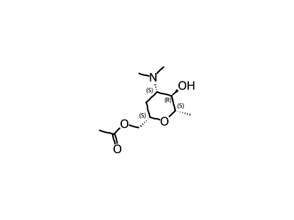 CC(=O)OC[C@@H]1C[C@H](N(C)C)[C@@H](O)[C@H](C)O1